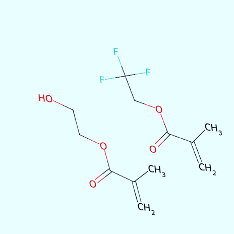 C=C(C)C(=O)OCC(F)(F)F.C=C(C)C(=O)OCCO